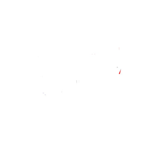 CC1(C)c2cc(OCC(O)[C@H](O)CO)ccc2C(=O)c2c1[nH]c1cc(Cl)c(Cl)cc21